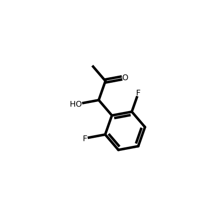 CC(=O)C(O)c1c(F)cccc1F